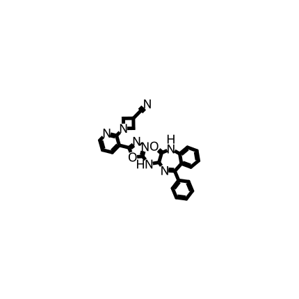 N#CC1CN(c2ncccc2-c2nnc(NC3N=C(c4ccccc4)c4ccccc4NC3=O)o2)C1